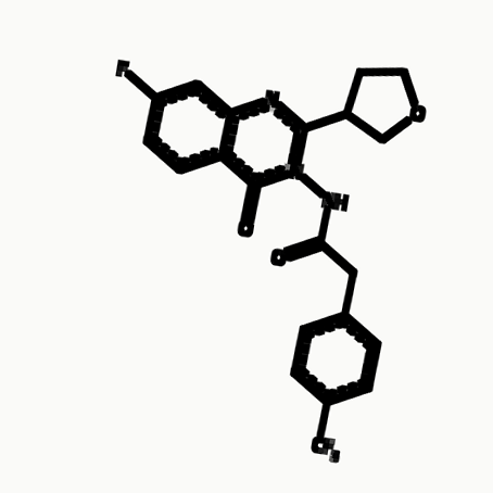 O=C(Cc1ccc(C(F)(F)F)cc1)Nn1c(C2CCOC2)nc2cc(F)ccc2c1=O